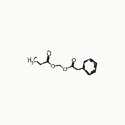 CCC(=O)OCOC(=O)Cc1ccccc1